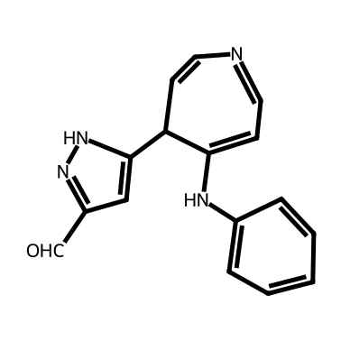 O=Cc1cc(C2C=CN=CC=C2Nc2ccccc2)[nH]n1